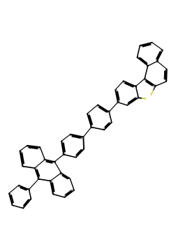 c1ccc(-c2c3ccccc3c(-c3ccc(-c4ccc(-c5ccc6c(c5)sc5ccc7ccccc7c56)cc4)cc3)c3ccccc23)cc1